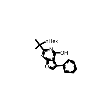 CCCCCCC(C)(C)c1nc(O)c2c(-c3ccccc3)coc2n1